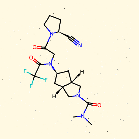 CN(C)C(=O)N1C[C@H]2C[C@H](N(CC(=O)N3CCC[C@H]3C#N)C(=O)C(F)(F)F)C[C@H]2C1